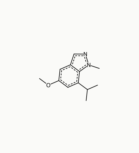 COc1cc(C(C)C)c2c(cnn2C)c1